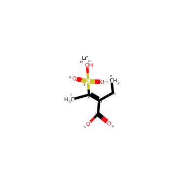 CCC(C(=O)[O-])=C(C)S(=O)(=O)O.[Li+]